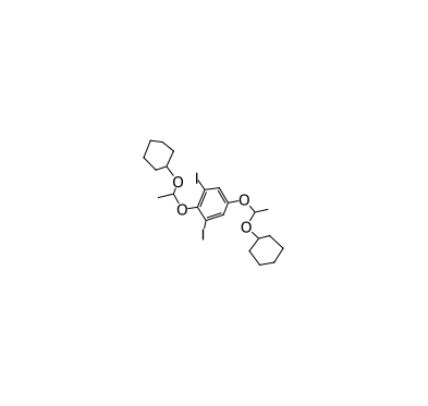 CC(Oc1cc(I)c(OC(C)OC2CCCCC2)c(I)c1)OC1CCCCC1